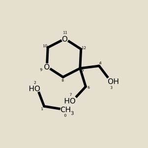 CCO.OCC1(CO)COCOC1